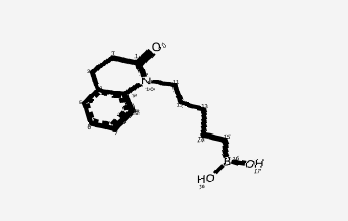 O=C1CCc2ccccc2N1CCCCCB(O)O